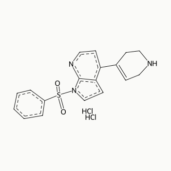 Cl.Cl.O=S(=O)(c1ccccc1)n1ccc2c(C3=CCNCC3)ccnc21